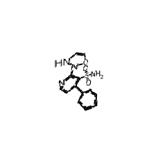 NS(=O)(=O)c1c(-c2ccccc2)ccnc1N1NC=CO1